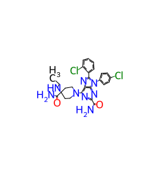 CCNC1(C(N)=O)CCN(c2nc(C(N)=O)nc3c2nc(-c2ccccc2Cl)n3-c2ccc(Cl)cc2)CC1